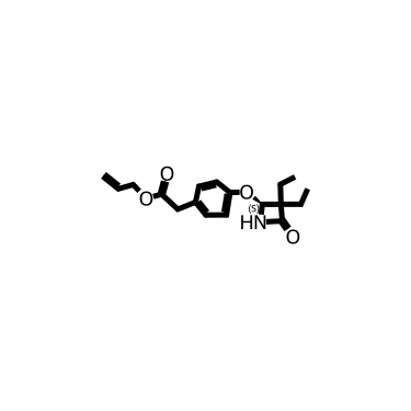 C=CCOC(=O)Cc1ccc(O[C@@H]2NC(=O)C2(CC)CC)cc1